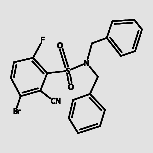 N#Cc1c(Br)ccc(F)c1S(=O)(=O)N(Cc1ccccc1)Cc1ccccc1